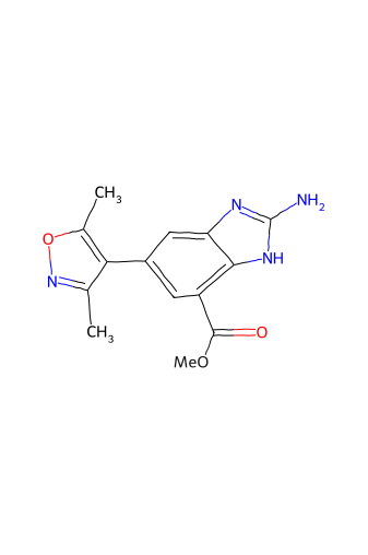 COC(=O)c1cc(-c2c(C)noc2C)cc2nc(N)[nH]c12